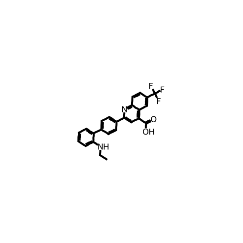 CCNc1ccccc1-c1ccc(-c2cc(C(=O)O)c3cc(C(F)(F)F)ccc3n2)cc1